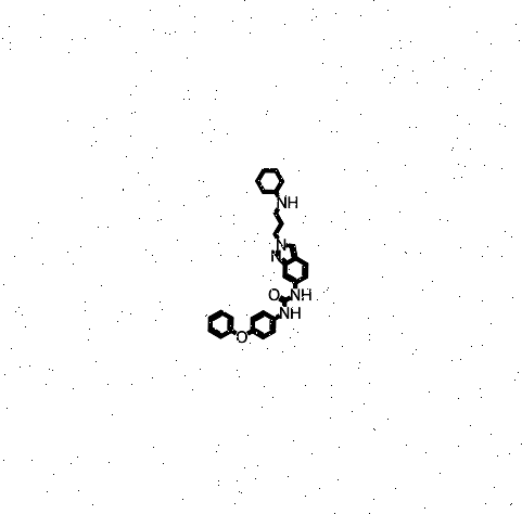 O=C(Nc1ccc(Oc2ccccc2)cc1)Nc1ccc2cn(CCCNC3CCCCC3)nc2c1